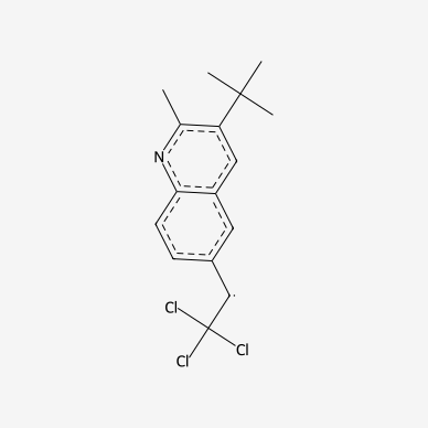 Cc1nc2ccc([CH]C(Cl)(Cl)Cl)cc2cc1C(C)(C)C